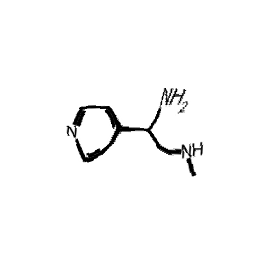 CNCC(N)c1ccncc1